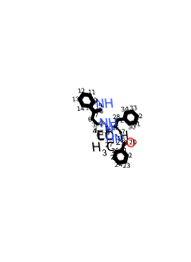 CCN(N[C@H](CC(=O)O)Cc1c[nH]c2ccccc12)[C@H](CNC(=O)c1ccccc1C)Cc1ccccc1